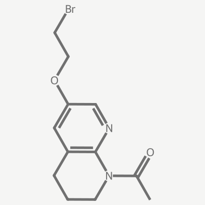 CC(=O)N1CCCc2cc(OCCBr)cnc21